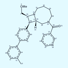 COC[C@@H]1[C@H](c2ccc(-c3cccc(C)c3)cc2)[C@H]2CN(C(=O)c3cccnc3)CCCCN12